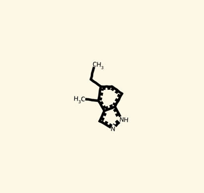 CCc1ccc2[nH]ncc2c1C